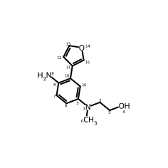 CN(CCO)c1ccc(N)c(-c2ccoc2)c1